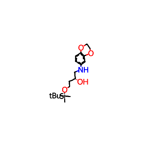 CC(C)(C)[Si](C)(C)OCC[C@@H](O)CNc1ccc2c(c1)OCCO2